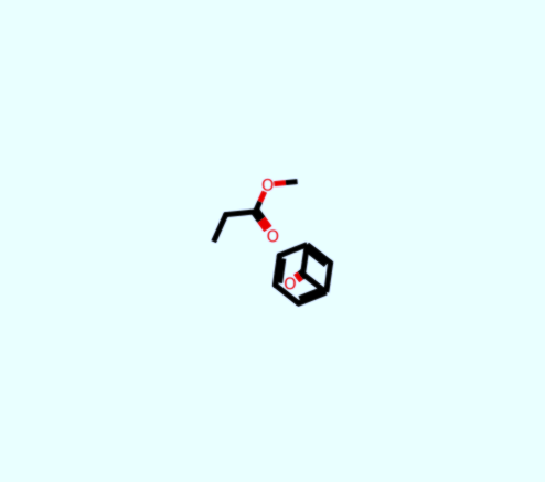 CCC(=O)OC.O=C1c2cccc1c2